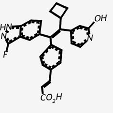 O=C(O)C=Cc1ccc(C(=C(c2ccnc(O)c2)C2CCC2)c2ccc3[nH]nc(F)c3c2)cc1